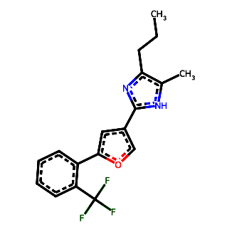 CCCc1nc(-c2coc(-c3ccccc3C(F)(F)F)c2)[nH]c1C